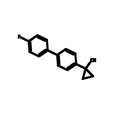 N#CC1(c2ccc(-c3ccc(F)cc3)cc2)CC1